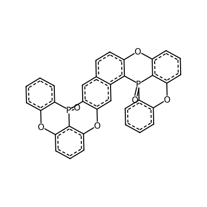 O=P12c3ccccc3Oc3cccc(c31)Oc1cc3c4c(ccc3cc12)Oc1cccc2c1P4(=O)c1ccccc1O2